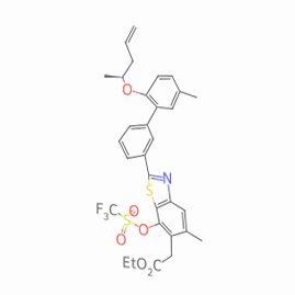 C=CC[C@H](C)Oc1ccc(C)cc1-c1cccc(-c2nc3cc(C)c(CC(=O)OCC)c(OS(=O)(=O)C(F)(F)F)c3s2)c1